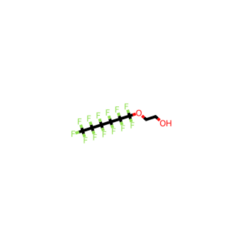 OCCOC(F)(F)C(F)(F)C(F)(F)C(F)(F)C(F)(F)C(F)(F)F